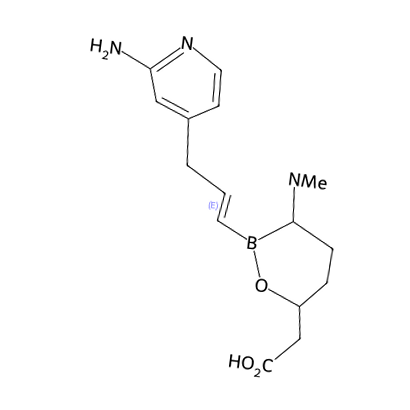 CNC1CCC(CC(=O)O)OB1/C=C/Cc1ccnc(N)c1